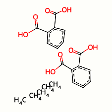 C.C.C.C.C.O=C(O)c1ccccc1C(=O)O.O=C(O)c1ccccc1C(=O)O